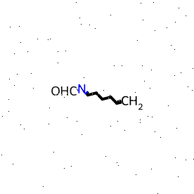 C=CCCCC=NC=O